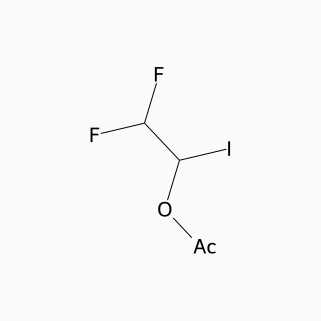 CC(=O)OC(I)C(F)F